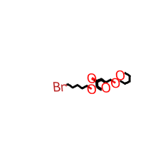 O=c1cc(COC2CCCCO2)occ1OCCCCCBr